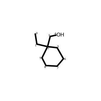 CCC1([CH]O)CCCCC1